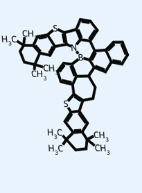 CC1(C)CCC(C)(C)c2cc3c4c(sc3cc21)-c1cccc2c1C(CC4)c1cc3ccccc3c3c1B2n1c2c-3cccc2c2sc3cc4c(cc3c21)C(C)(C)CCC4(C)C